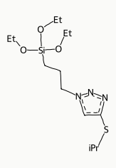 CCO[Si](CCCn1cc(SC(C)C)nn1)(OCC)OCC